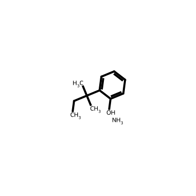 CCC(C)(C)c1ccccc1O.N